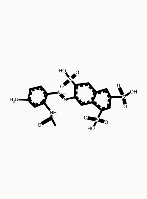 CC(=O)Nc1cc(N)ccc1/N=N/c1cc2c(S(=O)(=O)O)cc(S(=O)(=O)O)cc2cc1S(=O)(=O)O